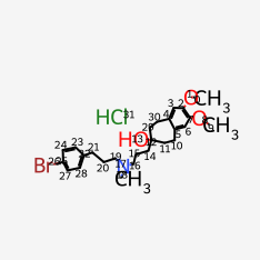 COc1cc2c(cc1OC)CCC(O)(CCCN(C)CCCc1ccc(Br)cc1)CC2.Cl